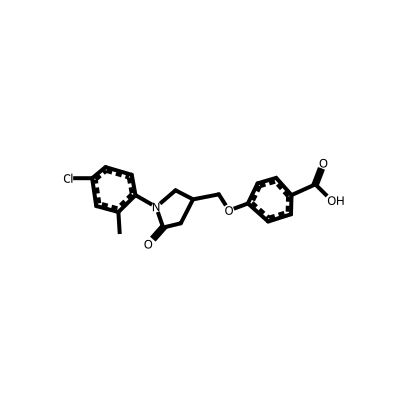 Cc1cc(Cl)ccc1N1CC(COc2ccc(C(=O)O)cc2)CC1=O